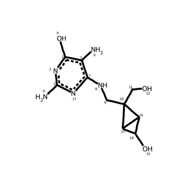 Nc1nc(O)c(N)c(NCC2(CO)C3C(O)C32)n1